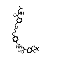 CC(C)CNC(=O)c1cccc(COCCOc2ccc(CCNC[C@H](O)c3ccc4c(c3)COC(C)(C)O4)cc2)c1